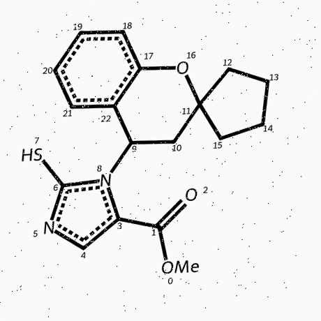 COC(=O)c1cnc(S)n1C1CC2(CCCC2)Oc2ccccc21